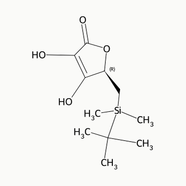 CC(C)(C)[Si](C)(C)C[C@@H]1OC(=O)C(O)=C1O